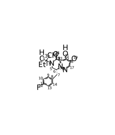 CCC(C)(C)N1C[C@@H](Cc2ccc(F)cc2)n2ncc(=O)c(O)c2C1=O